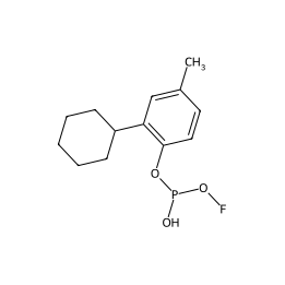 Cc1ccc(OP(O)OF)c(C2CCCCC2)c1